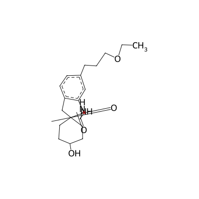 CCOCCCc1ccc2c(c1)C1(NC(=O)NC1=O)C1(CCC(O)CC1)C2